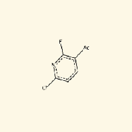 CC(=O)c1ccc(Cl)nc1F